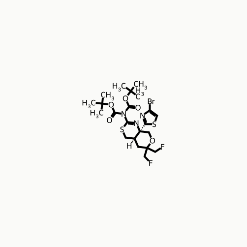 CC(C)(C)OC(=O)N(C(=O)OC(C)(C)C)C1=N[C@@]2(c3nc(Br)cs3)COC(CF)(CF)C[C@H]2CS1